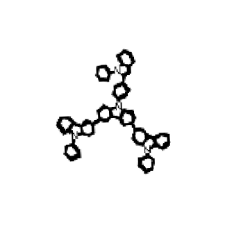 C1=CCCC(N2C3CCC(C4C=CC5C(C4)C4CC(C6C=CC7C(C6)C6CCC=CC6N7C6=CC=CCC6)C=CC4N5C4=CC=C(C5=CC6C=CCCC6N5C5=CCCCC5)CC4)C=C3C3CCC=CC32)=C1